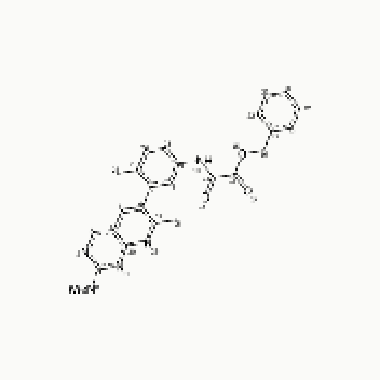 CNc1ncc2cc(-c3cc(NC(=O)C(=O)OCc4ccccc4)ccc3C)c(C)nc2n1